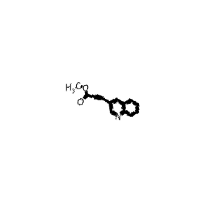 COC(=O)C#Cc1cnc2ccccc2c1